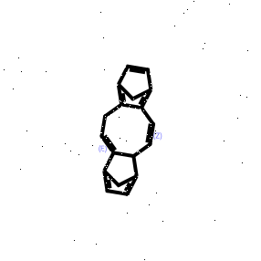 C1=CC2=C3C/C=C4/C5=CC=C(C5)C4/C=C\C3=C1C2